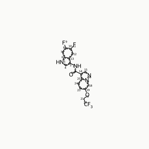 O=C(Nc1c[nH]c2cc(F)c(F)cc12)c1cnn2cc(OCC(F)(F)F)ccc12